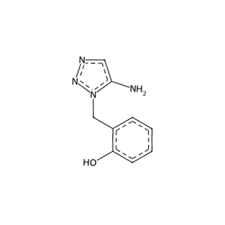 Nc1cnnn1Cc1ccccc1O